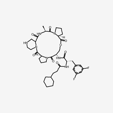 C[C@@H]1NC(=O)C2CNCCN2C(=O)[C@@H]2CCCN2C(=O)[C@@H](NC(=O)[C@H](Cc2cc(F)cc(F)c2)NC(=O)CCC2CCCCC2)COC(=O)[C@@H]2CCCN2C1=O